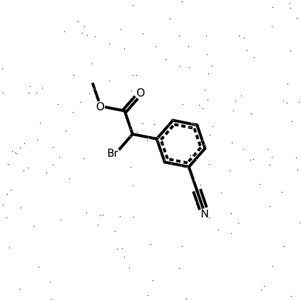 COC(=O)C(Br)c1cccc(C#N)c1